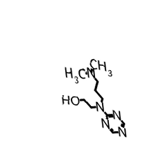 CN(C)CCCN(CCO)c1ncncn1